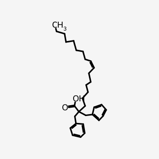 CCCCCCCC/C=C\CCCCCCC(Cc1ccccc1)(Cc1ccccc1)C(=O)O